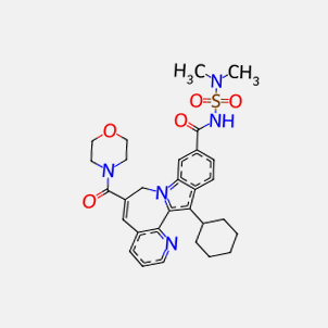 CN(C)S(=O)(=O)NC(=O)c1ccc2c(C3CCCCC3)c3n(c2c1)CC(C(=O)N1CCOCC1)=Cc1cccnc1-3